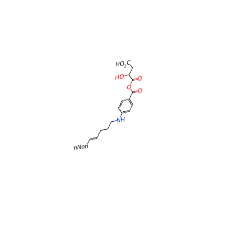 CCCCCCCCCC=CCCCNc1ccc(C(=O)OC(=O)C(O)CC(=O)O)cc1